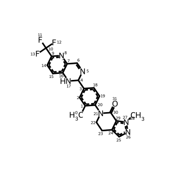 Cc1cc(C2N=Cc3nc(C(F)(F)F)ccc3N2)ccc1N1CCc2cnn(C)c2C1=O